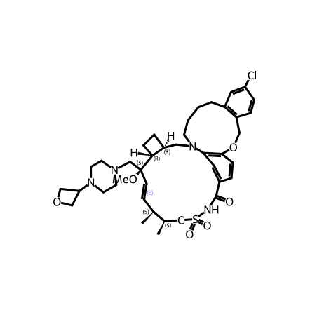 CO[C@]1(CN2CCN(C3COC3)CC2)/C=C/[C@H](C)[C@H](C)CS(=O)(=O)NC(=O)c2ccc3c(c2)N(CCCCc2cc(Cl)ccc2CO3)C[C@@H]2CC[C@H]21